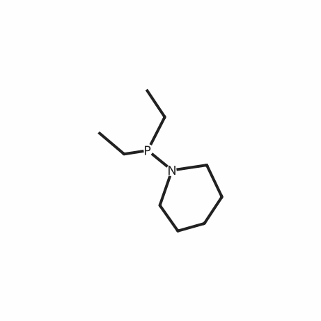 CCP(CC)N1CCCCC1